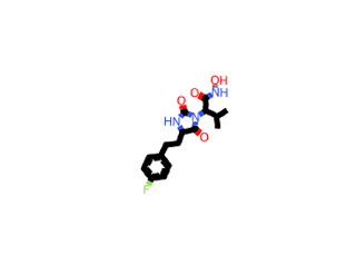 CC(C)C(C(=O)NO)N1C(=O)NC(CCc2ccc(F)cc2)C1=O